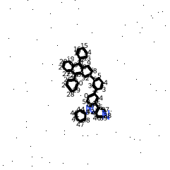 C1=C(c2cccc(-c3ccc4c(-c5ccccc5)c5ccccc5c(-c5ccccc5)c4c3)c2)C=C2c3cnccc3N(c3ccccc3)C2C1